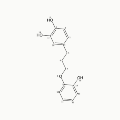 Oc1ccc(CCCOc2ccccc2O)cc1O